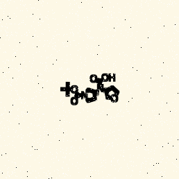 CC(C)(C)OC(=O)N1CC[C@@H](N(C(=O)O)[C@H]2CCOC2)C1